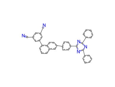 N#Cc1cc(C#N)cc(-c2cccc3cc(-c4ccc(-c5nc(-c6ccccc6)nc(-c6ccccc6)n5)cc4)ccc23)c1